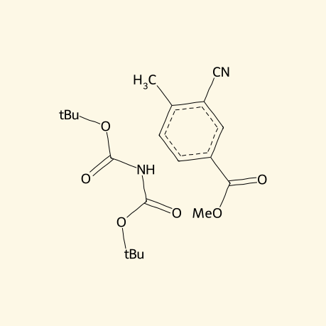 CC(C)(C)OC(=O)NC(=O)OC(C)(C)C.COC(=O)c1ccc(C)c(C#N)c1